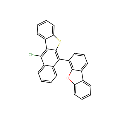 Clc1c2ccccc2c(-c2cccc3c2oc2ccccc23)c2sc3ccccc3c12